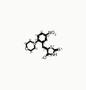 O=C1NC(=S)S/C1=C\c1cc([N+](=O)[O-])ccc1N1CCOCC1